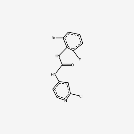 O=C(Nc1ccnc(Cl)c1)Nc1c(F)cccc1Br